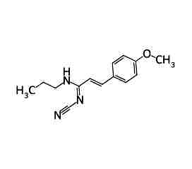 CCCNC(C=Cc1ccc(OC)cc1)=NC#N